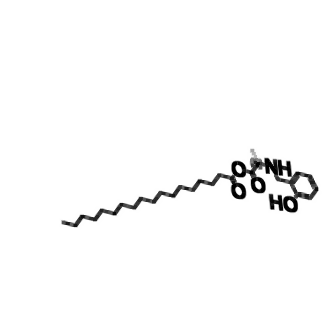 CCCCCCCCCCCCCCCCCC(=O)OC(=O)[C@H](C)NCc1ccccc1O